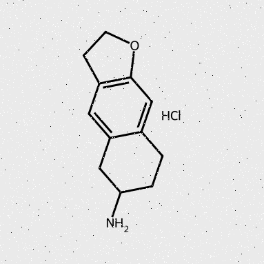 Cl.NC1CCc2cc3c(cc2C1)CCO3